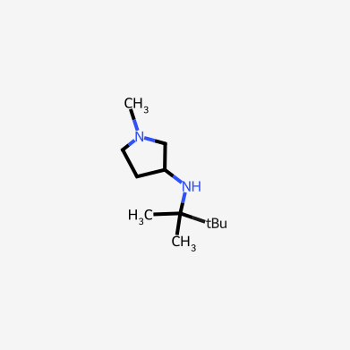 CN1CCC(NC(C)(C)C(C)(C)C)C1